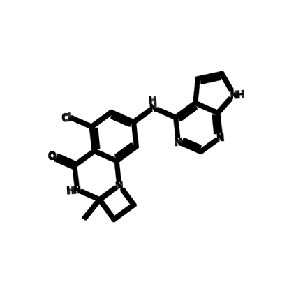 CC12CCN1c1cc(Nc3ncnc4[nH]ccc34)cc(Cl)c1C(=O)N2